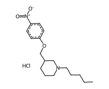 CCCCCN1CCCC(COc2ccc([N+](=O)[O-])cc2)C1.Cl